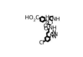 O=C(C=Cc1cc(Cl)ccc1-n1cnnn1)N[C@@H](C[C@H]1CCCN1)C(=O)Nc1ccc(C(=O)O)cc1